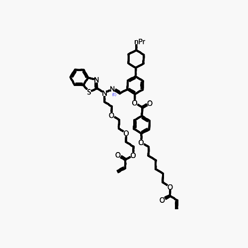 C=CC(=O)OCCCCCCOc1ccc(C(=O)Oc2ccc(C3CCC(CCC)CC3)cc2/C=N/N(CCOCCOCCOC(=O)C=C)c2nc3ccccc3s2)cc1